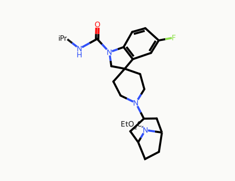 CCOC(=O)N1C2CCC1CC(N1CCC3(CC1)CN(C(=O)NC(C)C)c1ccc(F)cc13)C2